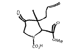 C=CCC1(C)C(=O)CN(C(=O)O)C1C(=O)OC